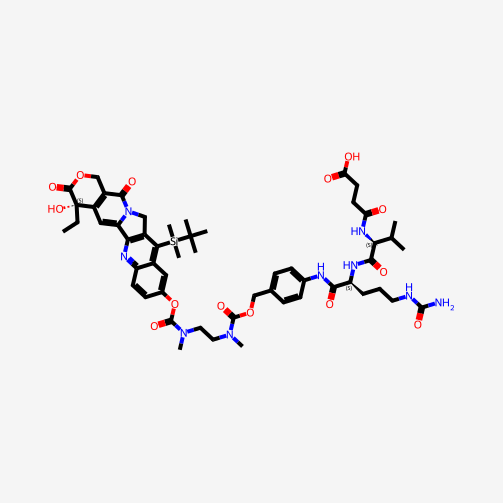 CC[C@@]1(O)C(=O)OCc2c1cc1n(c2=O)Cc2c-1nc1ccc(OC(=O)N(C)CCN(C)C(=O)OCc3ccc(NC(=O)[C@H](CCCNC(N)=O)NC(=O)[C@@H](NC(=O)CCC(=O)O)C(C)C)cc3)cc1c2[Si](C)(C)C(C)(C)C